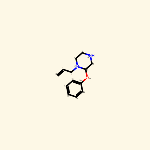 C=CCN1CCNCC1Oc1ccccc1